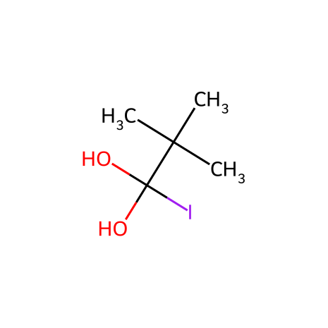 CC(C)(C)C(O)(O)I